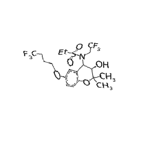 CCS(=O)(=O)N(CC(F)(F)F)C1c2cc(OCCCC(F)(F)F)ccc2OC(C)(C)C1O